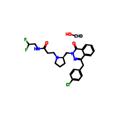 O=C(CCN1CCC[C@@H]1Cn1nc(Cc2ccc(Cl)cc2)c2ccccc2c1=O)NCC(F)F.O=CO